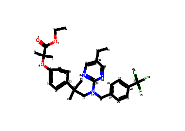 CCOC(=O)C(C)(C)Oc1ccc(C(C)(C)CN(Cc2ccc(C(F)(F)F)cc2)c2ncc(CC)cn2)cc1